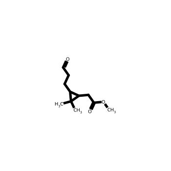 COC(=O)CC1C(CCC=O)C1(C)C